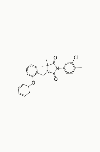 Cc1ccc(N2C(=O)N(Cc3ccccc3OC3C=CC=CC3)C(C)(C)C2=O)cc1Cl